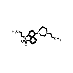 CCCN1CCCN(c2ccc3c4c(cccc24)S(=O)(=O)N3CCC)CC1